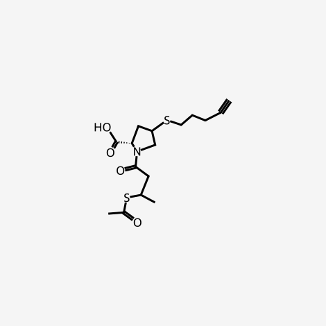 C#CCCCSC1C[C@@H](C(=O)O)N(C(=O)CC(C)SC(C)=O)C1